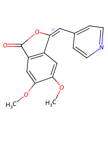 COc1cc2c(cc1OC)/C(=C\c1ccncc1)OC2=O